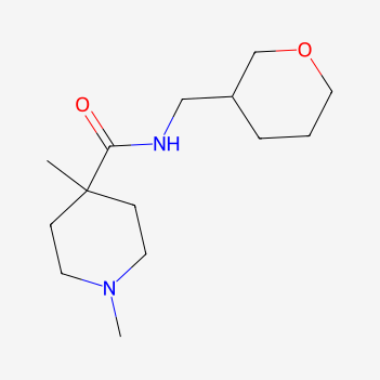 CN1CCC(C)(C(=O)NCC2CCCOC2)CC1